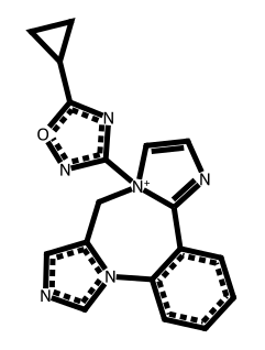 C1=C[N+]2(c3noc(C4CC4)n3)Cc3cncn3-c3ccccc3C2=N1